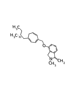 C=C1c2cccc(OCC3=CC=C(C[C@H](C)CC)CC=C3)c2CN1C